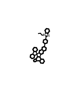 CCCn1c(-c2ccc(-c3ccc4cc5c(cc4c3)C3(c4ccccc4-c4ccccc43)c3c-5c4ccccc4c4ccccc34)cc2)nc2ccccc21